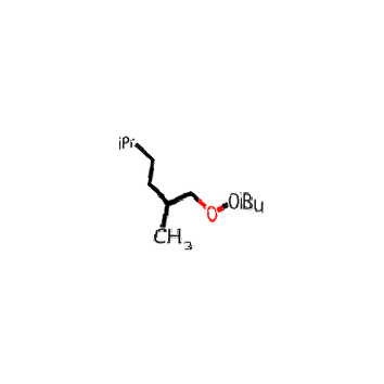 CC(C)CCC(C)COOCC(C)C